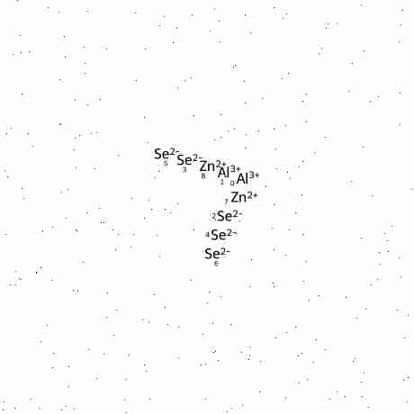 [Al+3].[Al+3].[Se-2].[Se-2].[Se-2].[Se-2].[Se-2].[Zn+2].[Zn+2]